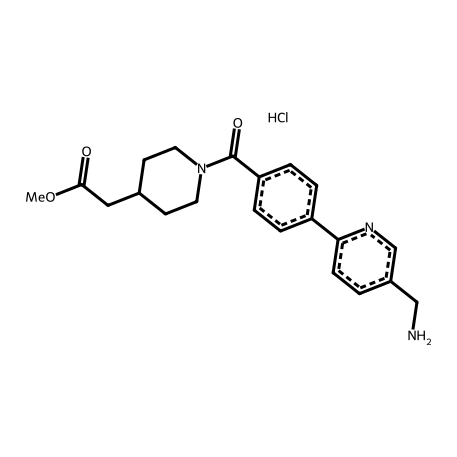 COC(=O)CC1CCN(C(=O)c2ccc(-c3ccc(CN)cn3)cc2)CC1.Cl